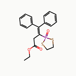 CCOC(=O)CC(=C(c1ccccc1)c1ccccc1)P1(=O)SCCS1